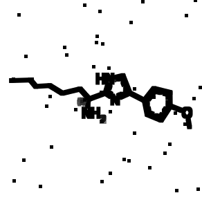 CCCCCC[C@H](N)c1nc(-c2ccc(OC)cc2)c[nH]1